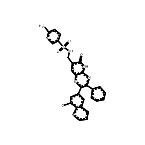 Cc1ccc(S(=O)(=O)NCc2cc3nc(-c4cc(Cl)c5ncccc5c4)c(-c4ccccc4)nc3[nH]c2=O)cn1